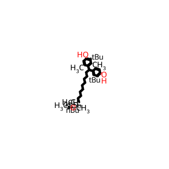 CCCC[Si](C)(C)O[Si](C)(C)CCCCCCCCCCC(c1cc(C(C)(C)C)c(O)cc1C)c1cc(C(C)(C)C)c(O)cc1C